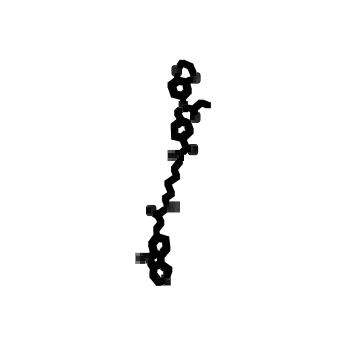 CCC(=O)N(Cc1ccc(C(=O)NCCCCCCNC(=O)CCc2ccc3c(c2)[nH]c2ccncc23)cc1)c1ccc2c(c1)OCCO2